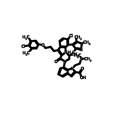 Cc1cc(OCCCc2c3n(c4c(-c5c(C)nn(C)c5C)c(Cl)ccc24)C(C)CN(c2cccc4cc(C(=O)O)n(CCN(C)C)c24)C3=O)cc(C)c1Cl